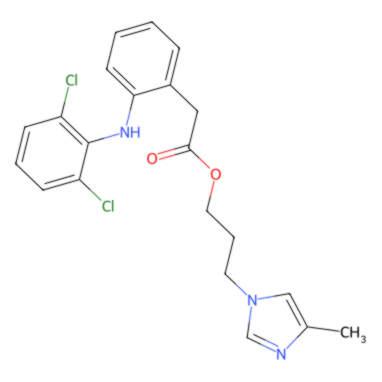 Cc1cn(CCCOC(=O)Cc2ccccc2Nc2c(Cl)cccc2Cl)cn1